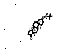 CC(C)(C)[Si](C)(C)O[C@H]1CC[C@H]2C(=CC[C@@H]3[C@@H]2CC[C@]2(C)C(=O)CC[C@@H]32)C1